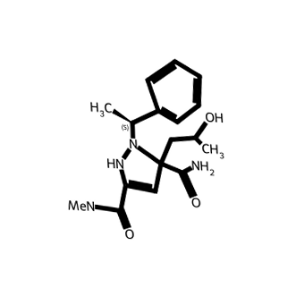 CNC(=O)C1=CC(CC(C)O)(C(N)=O)N([C@@H](C)c2ccccc2)N1